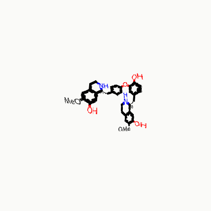 COc1cc2c(cc1O)[C@@H](Cc1ccc(Oc3cc(C[C@H]4NCCc5cc(OC)c(O)cc54)ccc3O)cc1)NCC2